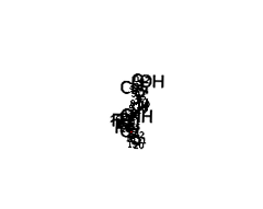 O=C(O)c1ccc(-c2ccc(NC(=O)c3nc(-c4ccccc4)oc3C(F)(F)F)cn2)cc1Cl